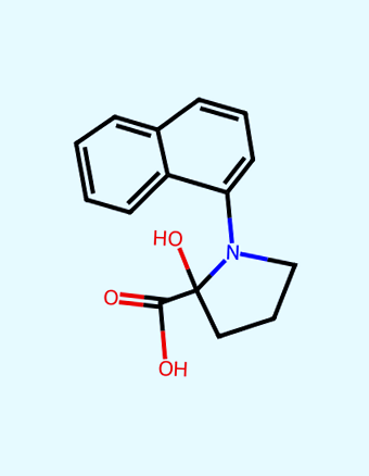 O=C(O)C1(O)CCCN1c1cccc2ccccc12